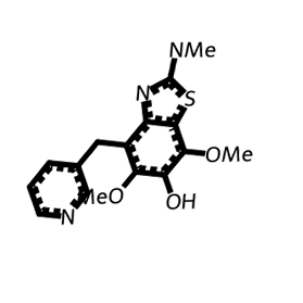 CNc1nc2c(Cc3cccnc3)c(OC)c(O)c(OC)c2s1